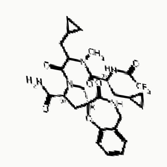 CN(C(=O)[C@H](CC1CC1)NC(=O)C(F)(F)F)C(CC1CC1)C(=O)N1C[C@@]2(C[C@H]1C(N)=O)Oc1ccccc1CNC2=O